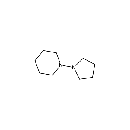 C1CCN(N2CCCC2)CC1